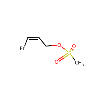 CC/C=C\COS(C)(=O)=O